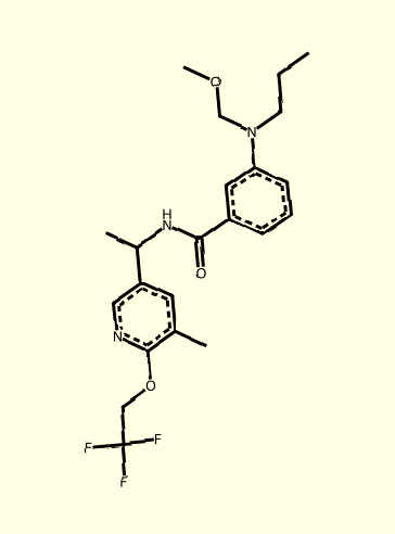 CCCN(COC)c1cccc(C(=O)NC(C)c2cnc(OCC(F)(F)F)c(C)c2)c1